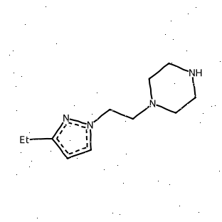 CCc1ccn(CCN2CCNCC2)n1